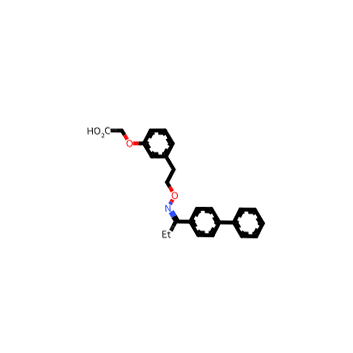 CCC(=NOCCc1cccc(OCC(=O)O)c1)c1ccc(-c2ccccc2)cc1